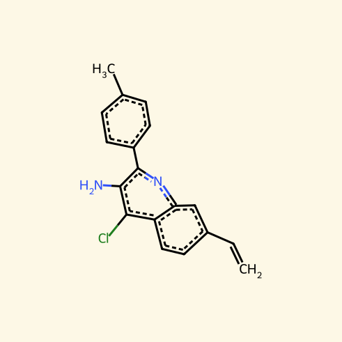 C=Cc1ccc2c(Cl)c(N)c(-c3ccc(C)cc3)nc2c1